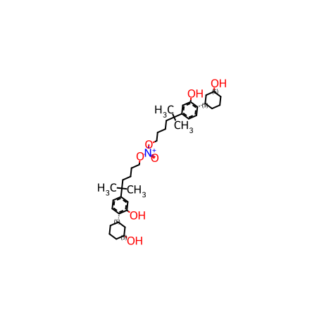 CC(C)(CCCCO[N+](=O)OCCCCC(C)(C)c1ccc([C@H]2CCC[C@H](O)C2)c(O)c1)c1ccc([C@H]2CCC[C@H](O)C2)c(O)c1